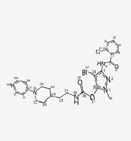 Cn1nc(NC(=O)c2ccccc2Cl)c(Br)c1OC(=O)NCCC1CCN(c2ccncc2)CC1